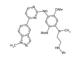 CNc1cc(Nc2nccc(-c3ccc4c(cnn4C)c3)n2)c(OC)cc1N(C)CCNC(C)C